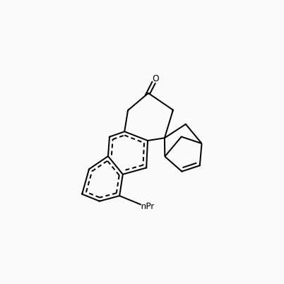 CCCc1cccc2cc3c(cc12)C1(CC(=O)C3)CC2C=CC1C2